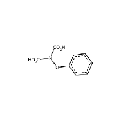 O=C(O)N(Oc1ccccc1)C(=O)O